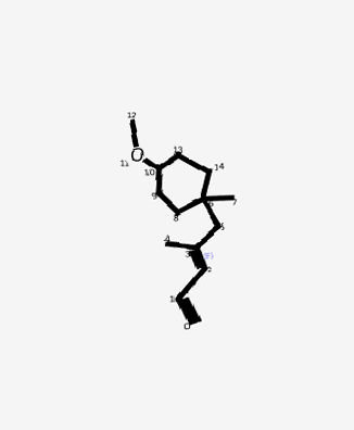 C=C/C=C(\C)CC1(C)CCC(OC)CC1